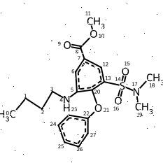 CCCCNc1cc(C(=O)OC)cc(S(=O)(=O)N(C)C)c1Oc1ccccc1